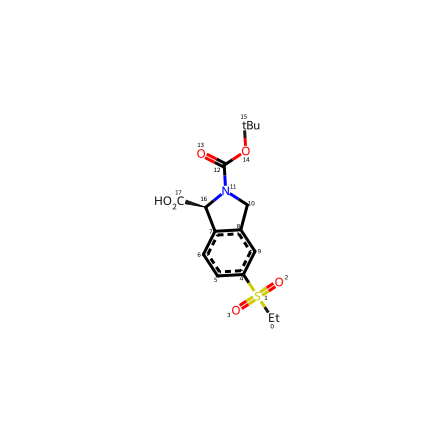 CCS(=O)(=O)c1ccc2c(c1)CN(C(=O)OC(C)(C)C)[C@@H]2C(=O)O